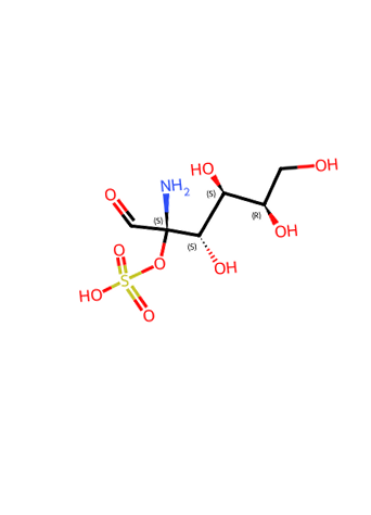 N[C@](C=O)(OS(=O)(=O)O)[C@@H](O)[C@@H](O)[C@H](O)CO